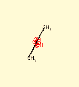 CCCCCCCCCCCCC(=O)C/C(C(=O)O)=C(/CC(=O)CCCCCCCCCCCC)C(=O)O